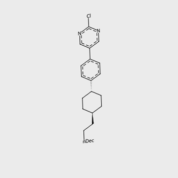 CCCCCCCCCCCC[C@H]1CC[C@H](c2ccc(-c3cnc(Cl)nc3)cc2)CC1